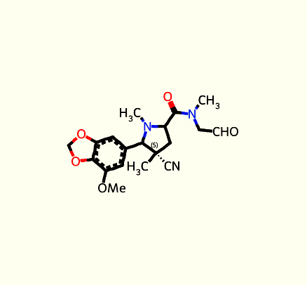 COc1cc(C2N(C)C(C(=O)N(C)CC=O)C[C@]2(C)C#N)cc2c1OCO2